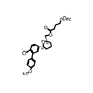 CCCCCCCCCCCCCC(=O)OC[C@H]1CCC[C@H](c2ccc(Cl)c(-c3ccc(OCC)cc3)c2)O1